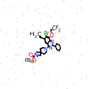 C=Cc1cc2c(N3CCC4(CC3)CN(C(=O)OC(C)(C)C)C4)nc(C3CCCCC3)nc2c(OCC(F)(F)F)c1Br